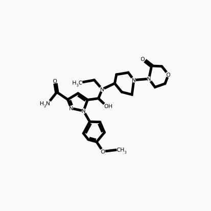 CCN(C1CCN(N2CCOCC2=O)CC1)C(O)c1cc(C(N)=O)nn1-c1ccc(OC)cc1